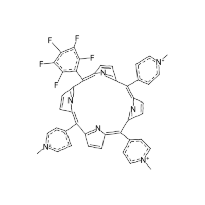 C[n+]1ccc(C2=C3C=CC(=N3)C(c3cc[n+](C)cc3)=C3C=CC(=N3)C(c3c(F)c(F)c(F)c(F)c3F)=C3C=CC(=N3)C(c3cc[n+](C)cc3)=C3C=CC2=N3)cc1